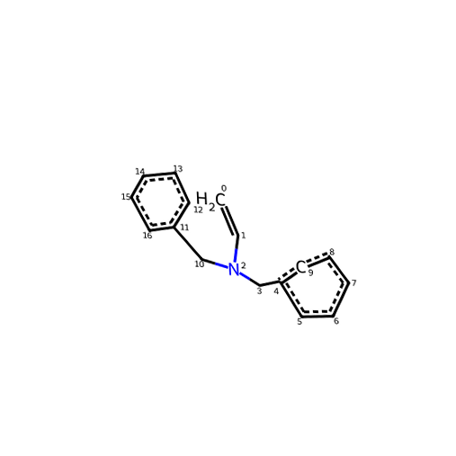 C=CN(Cc1ccccc1)Cc1ccccc1